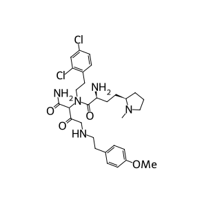 COc1ccc(CCNCC(=O)C(C(N)=O)N(CCc2ccc(Cl)cc2Cl)C(=O)[C@@H](N)CC[C@H]2CCCN2C)cc1